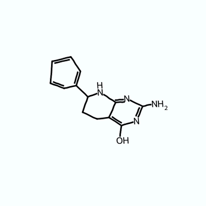 Nc1nc(O)c2c(n1)NC(c1ccccc1)CC2